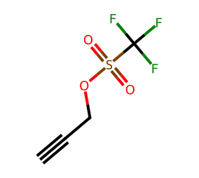 C#CCOS(=O)(=O)C(F)(F)F